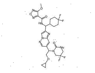 COc1nonc1C(=O)NC(c1cn2ncc(C(COC3CC3)N3CC(F)(F)CNC3=O)cc2n1)C1CCC(F)(F)CC1